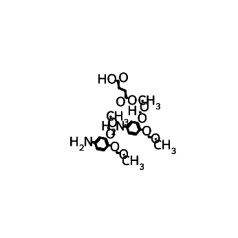 COCOc1ccc(N)cc1OCOC.COCOc1ccc(N)cc1OCOC.O=C(O)CCC(=O)O